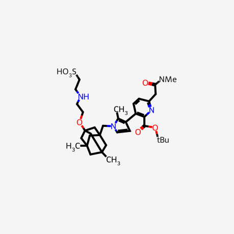 CNC(=O)Cc1ccc(-c2ccn(CC34CC5(C)CC(C)(C3)CC(OCCNCCS(=O)(=O)O)(C5)C4)c2C)c(C(=O)OC(C)(C)C)n1